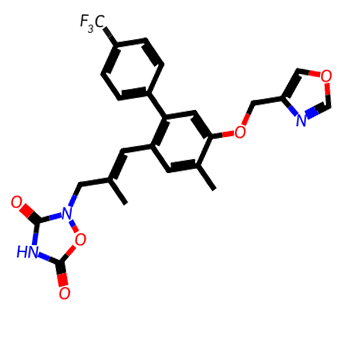 CC(=Cc1cc(C)c(OCc2cocn2)cc1-c1ccc(C(F)(F)F)cc1)Cn1oc(=O)[nH]c1=O